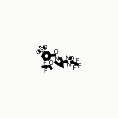 CC(Oc1ccc(S(C)(=O)=O)cc1C(=O)N1CC2CC2(c2noc(C(F)(F)F)n2)C1)C(C)(F)F